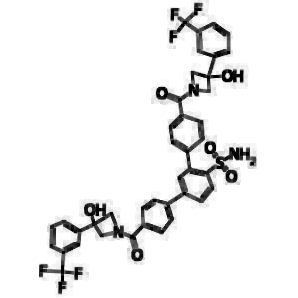 NS(=O)(=O)c1ccc(-c2ccc(C(=O)N3CC(O)(c4cccc(C(F)(F)F)c4)C3)cc2)cc1-c1ccc(C(=O)N2CC(O)(c3cccc(C(F)(F)F)c3)C2)cc1